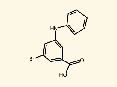 O=C(O)c1cc(Br)cc(Nc2ccccc2)c1